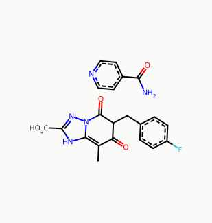 CC1=C2NC(C(=O)O)=NN2C(=O)C(Cc2ccc(F)cc2)C1=O.NC(=O)c1ccncc1